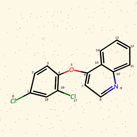 Clc1ccc(Oc2ccnc3ccccc23)c(Cl)c1